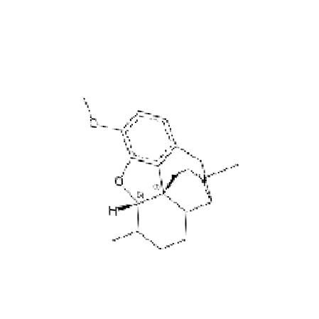 COc1ccc2c3c1O[C@H]1C(C)CCC4C(C2)N(C)CC[C@@]341